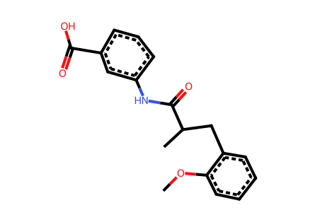 COc1ccccc1CC(C)C(=O)Nc1cccc(C(=O)O)c1